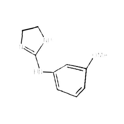 COc1cccc(NC2=NCCN2)c1